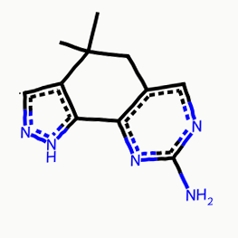 CC1(C)Cc2cnc(N)nc2-c2[nH]n[c]c21